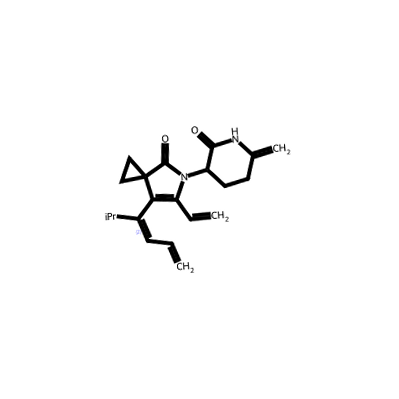 C=C/C=C(\C1=C(C=C)N(C2CCC(=C)NC2=O)C(=O)C12CC2)C(C)C